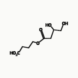 O=C(O)CCCOC(=O)CC(O)CO